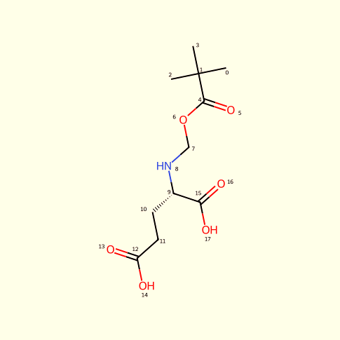 CC(C)(C)C(=O)OCN[C@@H](CCC(=O)O)C(=O)O